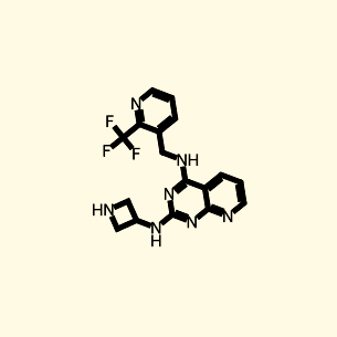 FC(F)(F)c1ncccc1CNc1nc(NC2CNC2)nc2ncccc12